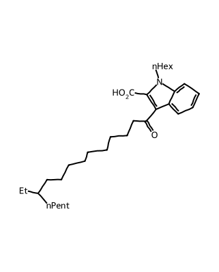 CCCCCCn1c(C(=O)O)c(C(=O)CCCCCCCCCC(CC)CCCCC)c2ccccc21